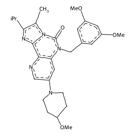 COc1cc(Cn2c(=O)n3c(C)c(C(C)C)nc3c3ncc(N4CCC(OC)CC4)cc32)cc(OC)c1